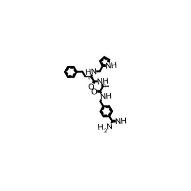 C[C@H](NC(=O)[C@@H](CCc1ccccc1)NCc1ccc[nH]1)C(=O)NCc1ccc(C(=N)N)cc1